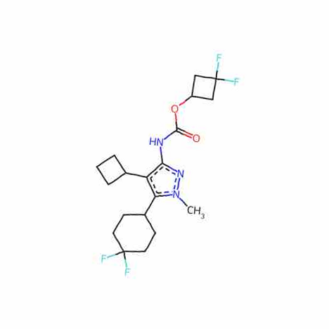 Cn1nc(NC(=O)OC2CC(F)(F)C2)c(C2CCC2)c1C1CCC(F)(F)CC1